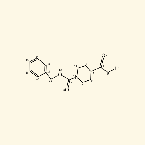 O=C(CI)C1CCN(C(=O)OCc2ccccc2)CC1